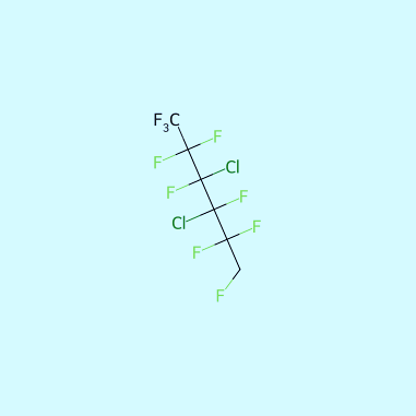 FCC(F)(F)C(F)(Cl)C(F)(Cl)C(F)(F)C(F)(F)F